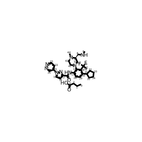 CCCC(=O)O.CNC[C@H]1CN(c2c(NC(=O)c3ccn(-c4ccnnc4)n3)ccc(C3CCCC3)c2C(F)(F)F)CCN1C